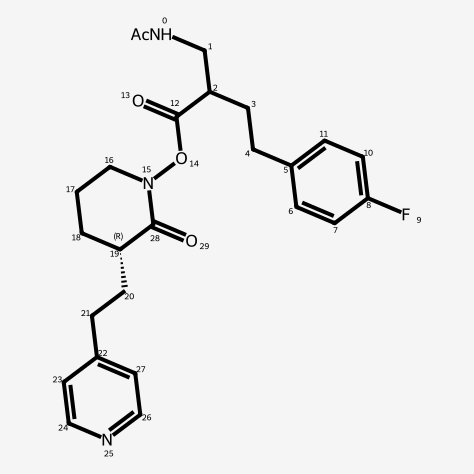 CC(=O)NCC(CCc1ccc(F)cc1)C(=O)ON1CCC[C@@H](CCc2ccncc2)C1=O